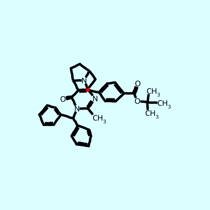 Cc1nc2c(c(=O)n1C(c1ccccc1)c1ccccc1)C1CCC(C2)N1Cc1ccc(C(=O)OC(C)(C)C)cc1